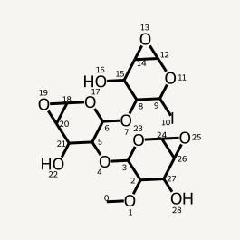 COC1C(OC2C(OC3C(I)OC4OC4C3O)OC3OC3C2O)OC2OC2C1O